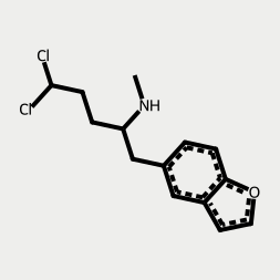 CNC(CCC(Cl)Cl)Cc1ccc2occc2c1